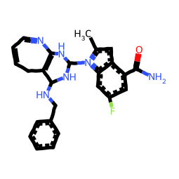 Cc1cc2c(C(N)=O)cc(F)cc2n1C1NC2=C(CC=CC=N2)C(NCc2ccccc2)N1